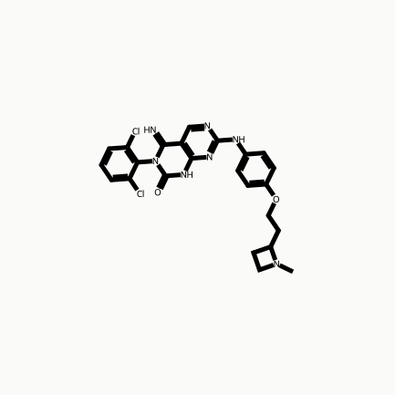 CN1CCC1CCOc1ccc(Nc2ncc3c(=N)n(-c4c(Cl)cccc4Cl)c(=O)[nH]c3n2)cc1